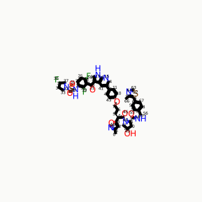 Cc1cc([C@@H](CCCOc2ccc(-c3cnc4[nH]cc(C(=O)c5c(F)ccc(NS(=O)(=O)N6CC[C@@H](F)C6)c5F)c4c3)cc2)C(=O)N2C[C@H](O)C[C@H]2C(=O)N[C@@H](C)c2ccc(-c3scnc3C)cc2)on1